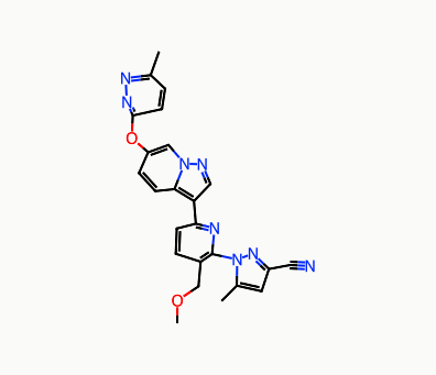 COCc1ccc(-c2cnn3cc(Oc4ccc(C)nn4)ccc23)nc1-n1nc(C#N)cc1C